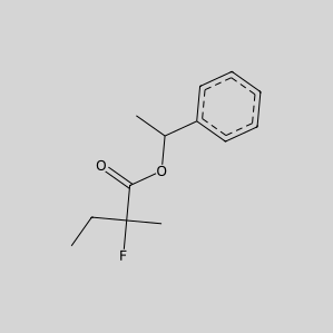 CCC(C)(F)C(=O)OC(C)c1ccccc1